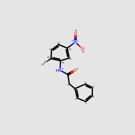 O=C(Cc1ccccc1)Nc1cc([N+](=O)[O-])ccc1F